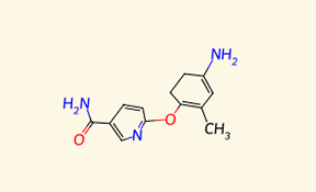 CC1=C(Oc2ccc(C(N)=O)cn2)CCC(N)=C1